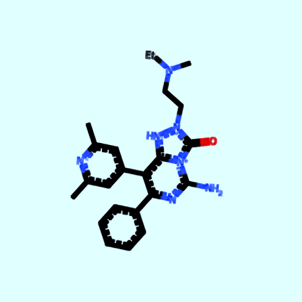 CCN(C)CCn1[nH]c2c(-c3cc(C)nc(C)c3)c(-c3ccccc3)nc(N)[n+]2c1=O